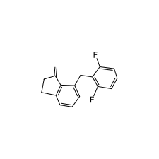 C=C1CCc2cccc(Cc3c(F)cccc3F)c21